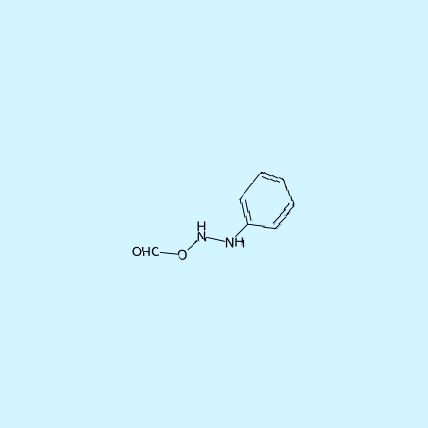 O=CONNc1ccccc1